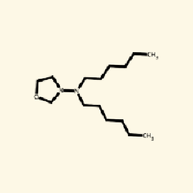 CCCCCCN(CCCCCC)N1CCOC1